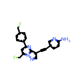 Nc1ccc(C#Cc2cnn3c(CF)cc(-c4ccc(CF)cc4)nc23)cn1